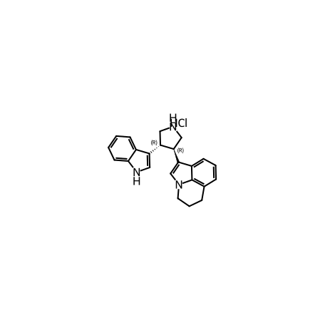 Cl.c1ccc2c([C@@H]3CNC[C@H]3c3cn4c5c(cccc35)CCC4)c[nH]c2c1